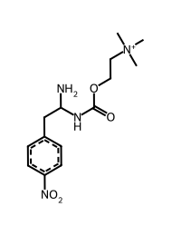 C[N+](C)(C)CCOC(=O)NC(N)Cc1ccc([N+](=O)[O-])cc1